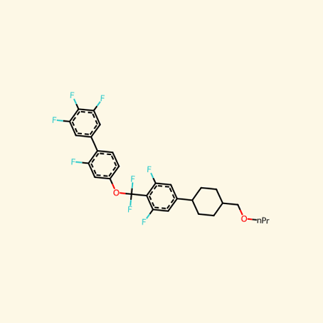 CCCOCC1CCC(c2cc(F)c(C(F)(F)Oc3ccc(-c4cc(F)c(F)c(F)c4)c(F)c3)c(F)c2)CC1